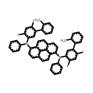 Cc1ccccc1-c1cc(N(c2ccccc2)c2ccc3ccc4c(N(c5ccccc5)c5cc(-c6ccccc6C)c(F)cc5F)ccc5ccc2c3c54)c(F)cc1F